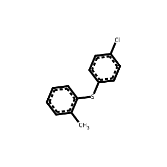 Cc1ccccc1Sc1ccc(Cl)cc1